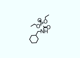 CCOP(=O)(OCC)C(=O)NCC1CCCCC1